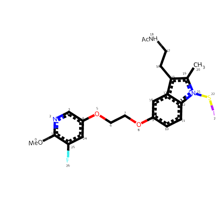 COc1ncc(OCCOc2ccc3c(c2)c(CCNC(C)=O)c(C)n3SI)cc1F